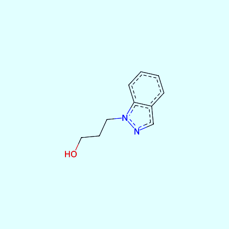 OCCCn1ncc2ccccc21